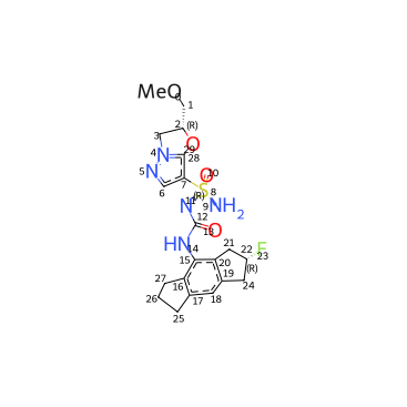 COC[C@H]1Cn2ncc([S@](N)(=O)=NC(=O)Nc3c4c(cc5c3C[C@H](F)C5)CCC4)c2O1